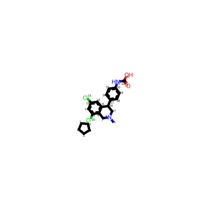 C1CCCC1.CN1Cc2c(Cl)cc(Cl)cc2C(c2ccc(NC(=O)O)cc2)C1